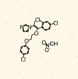 CC(=C(OCCOc1ccc(Cl)cc1)c1ccc(Cl)cc1Cl)n1ccnc1.O=[N+]([O-])O